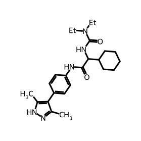 CCN(CC)C(=O)NC(C(=O)Nc1ccc(-c2c(C)n[nH]c2C)cc1)C1CCCCC1